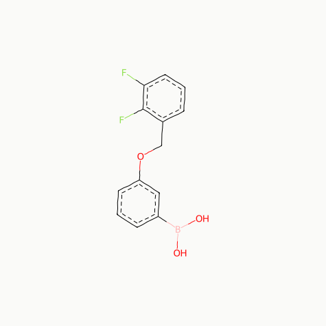 OB(O)c1cccc(OCc2cccc(F)c2F)c1